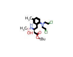 CB(O)N[C@H](CC(=O)OC(C)(C)C)Cc1cc(C)ccc1N(CCCl)CCCl